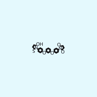 O=C1C=CC(=O)N1c1ccc(Oc2cccc(Oc3ccc(N4C(=S)C=CC4O)cc3)c2)cc1